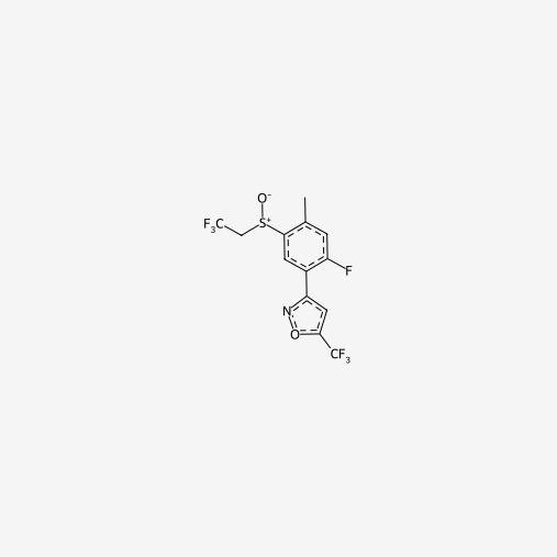 Cc1cc(F)c(-c2cc(C(F)(F)F)on2)cc1[S+]([O-])CC(F)(F)F